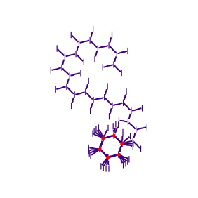 II(I)I(I)I(I)I(I)I(I)I(I)I(I)I(I)I(I)I(I)I(I)I(I)I(I)I(I)I(I)I(I)I(I)I(I)I(I)I(I)I(I)I(I)I(I)I(I)I(I)I(I)I(I)I(I)I(I)I(I)I(I)I(I)I(I)I(I)I(I)I(I)I(I)I(I)I(I)I(I)I(I)I(I)I(I)I(I)I